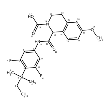 CC[Si](C)(C)c1c(F)cc(NC(=O)C2c3ccc(OC)nc3CCN2C(=O)O)cc1F